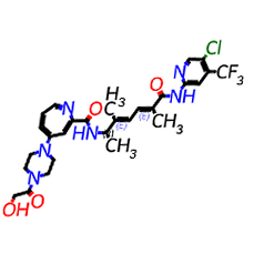 C/C(=C\C=C(/C)[C@@H](C)NC(=O)C1=CC(N2CCN(C(=O)CO)CC2)=C=CC=N1)C(=O)Nc1cc(C(F)(F)F)c(Cl)cn1